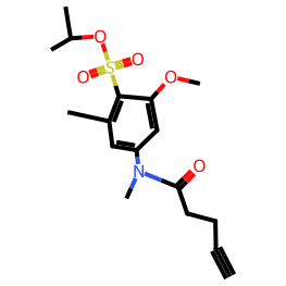 C#CCCC(=O)N(C)c1cc(C)c(S(=O)(=O)OC(C)C)c(OC)c1